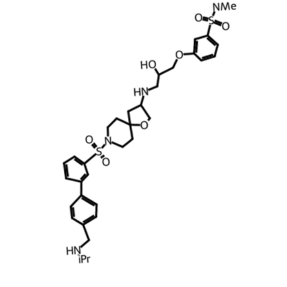 CNS(=O)(=O)c1cccc(OCC(O)CNC2COC3(CCN(S(=O)(=O)c4cccc(-c5ccc(CNC(C)C)cc5)c4)CC3)C2)c1